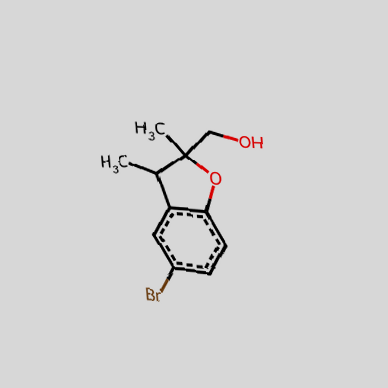 CC1c2cc(Br)ccc2OC1(C)CO